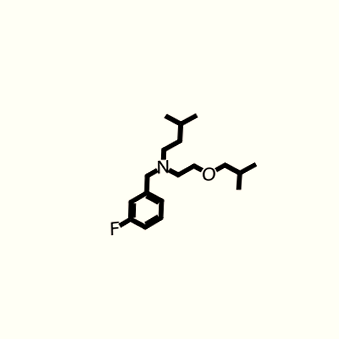 CC(C)CCN(CCOCC(C)C)Cc1cccc(F)c1